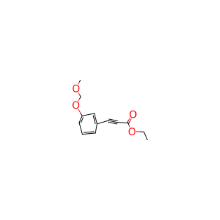 CCOC(=O)C#Cc1cccc(OCOC)c1